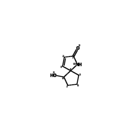 O=C1C=CC2(CCCC2O)N1